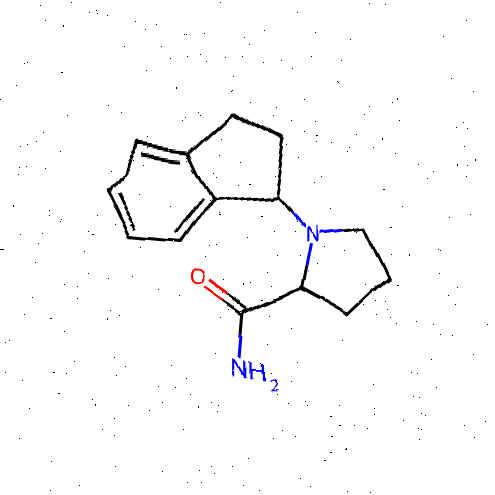 NC(=O)C1CCCN1C1CCc2ccccc21